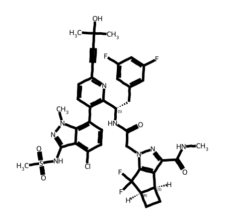 CNC(=O)c1nn(CC(=O)N[C@@H](Cc2cc(F)cc(F)c2)c2nc(C#CC(C)(C)O)ccc2-c2ccc(Cl)c3c(NS(C)(=O)=O)nn(C)c23)c2c1[C@H]1CC[C@H]1C2(F)F